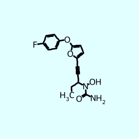 CCC(C#Cc1ccc(Oc2ccc(F)cc2)o1)N(O)C(N)=O